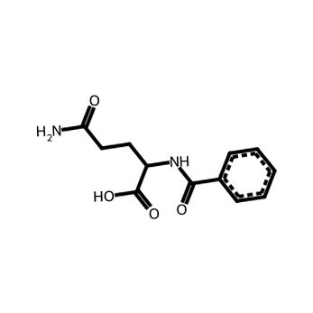 NC(=O)CCC(NC(=O)c1ccccc1)C(=O)O